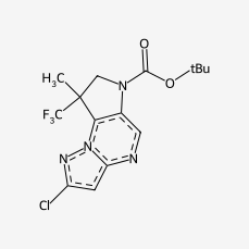 CC(C)(C)OC(=O)N1CC(C)(C(F)(F)F)c2c1cnc1cc(Cl)nn21